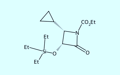 CCOC(=O)N1C(=O)[C@H](O[Si](CC)(CC)CC)[C@@H]1C1CC1